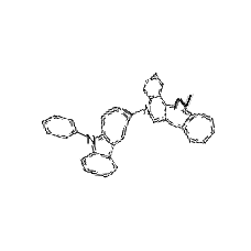 c1ccc(-n2c3ccccc3c3cc(-n4cc5c6ccccc6nc-5c5ccccc54)ccc32)cc1